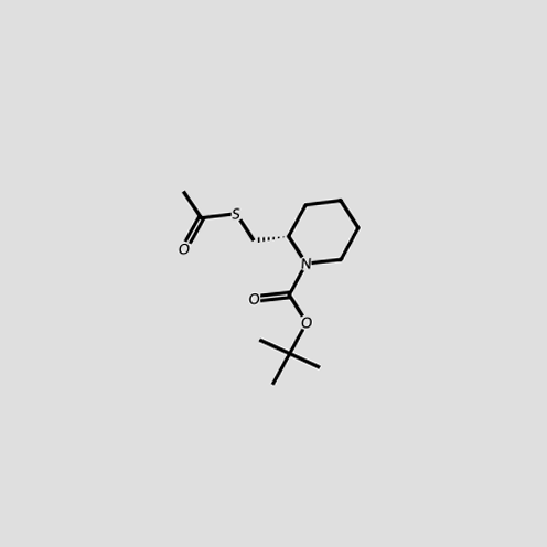 CC(=O)SC[C@@H]1CCCCN1C(=O)OC(C)(C)C